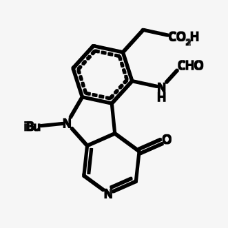 CCC(C)N1C2=CN=CC(=O)C2c2c1ccc(CC(=O)O)c2NC=O